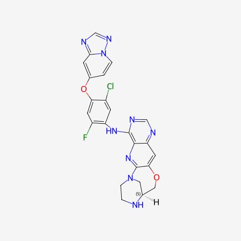 Fc1cc(Oc2ccn3ncnc3c2)c(Cl)cc1Nc1ncnc2cc3c(nc12)N1CCN[C@H](CO3)C1